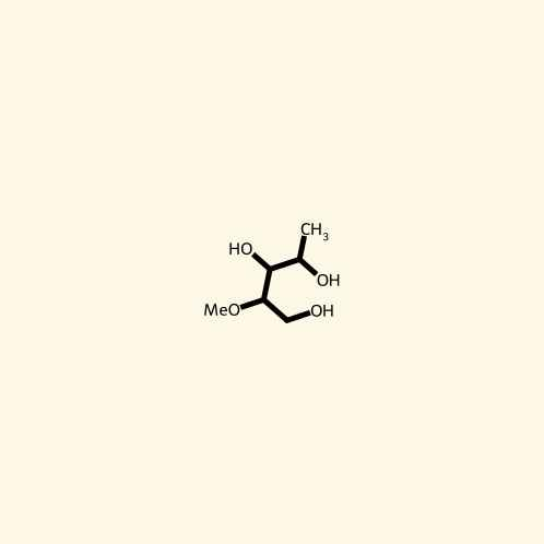 COC(CO)C(O)C(C)O